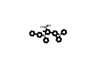 Cc1c(B(O)O)cc(-c2ccc3c(c2)c2ccccc2n3-c2ccccc2)cc1N(c1ccccc1)c1ccc(-c2ccccc2)cc1